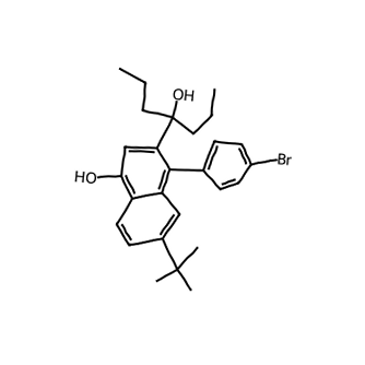 CCCC(O)(CCC)c1cc(O)c2ccc(C(C)(C)C)cc2c1-c1ccc(Br)cc1